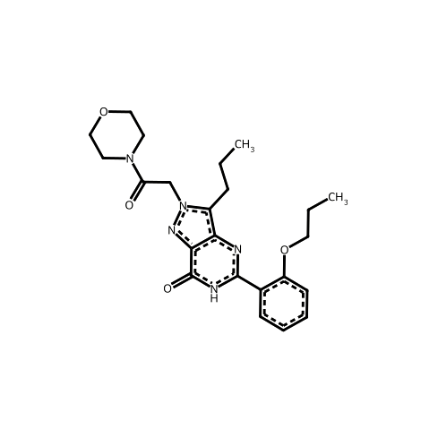 CCCOc1ccccc1-c1nc2c(CCC)n(CC(=O)N3CCOCC3)nc2c(=O)[nH]1